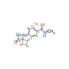 CNC(=O)c1ccc(NC2(C(=O)Cl)CCC2)cc1F